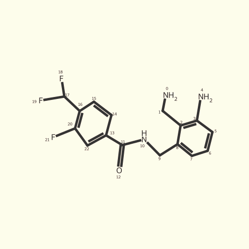 NCc1c(N)cccc1CNC(=O)c1ccc(C(F)F)c(F)c1